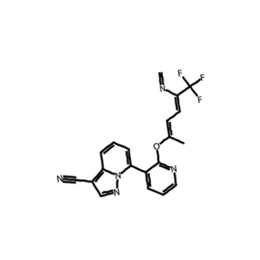 C=N/C(=C\C=C(/C)Oc1ncccc1-c1cccc2c(C#N)cnn12)C(F)(F)F